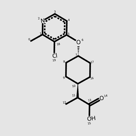 Cc1nccc(O[C@H]2CC[C@H](C(C)C(=O)O)CC2)c1Cl